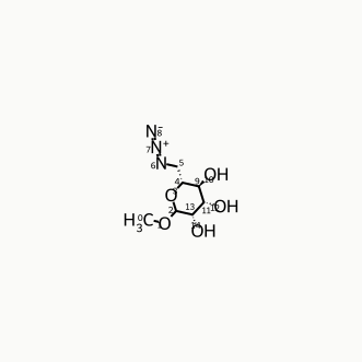 COC1O[C@H](CN=[N+]=[N-])[C@@H](O)[C@H](O)[C@@H]1O